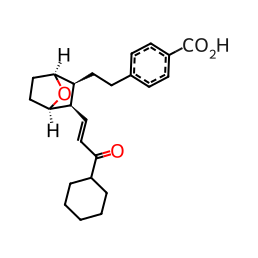 O=C(O)c1ccc(CC[C@H]2[C@@H](/C=C/C(=O)C3CCCCC3)[C@H]3CC[C@@H]2O3)cc1